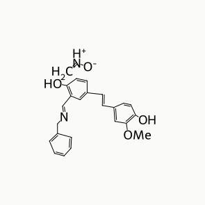 C=[NH+][O-].COc1cc(C=Cc2ccc(O)c(C=NCc3ccccc3)c2)ccc1O